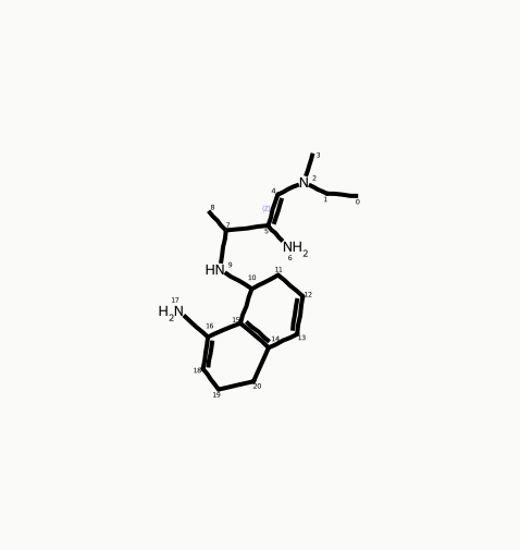 CCN(C)/C=C(\N)C(C)NC1CC=CC2=C1C(N)=CCC2